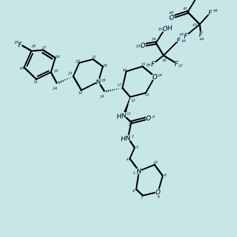 O=C(NCCN1CCOCC1)N[C@@H]1COCC[C@H]1CN1CCC[C@@H](Cc2ccc(F)cc2)C1.O=C(O)C(F)(F)F.O=C(O)C(F)(F)F